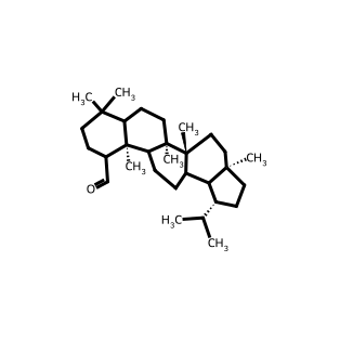 CC(C)[C@H]1CC[C@]2(C)CC[C@]3(C)C(CCC4[C@@]5(C)C(C=O)CCC(C)(C)C5CC[C@]43C)C12